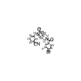 Cc1cc(C(=O)N2CCC3(CC2)CN(Cc2cccc(C#N)c2)C(=O)O3)ccc1Br